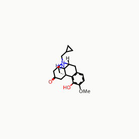 COc1ccc2c(c1O)[C@]13CCN(CC4CC4)[C@H](C2)[C@]1(N)CCC(=O)C3